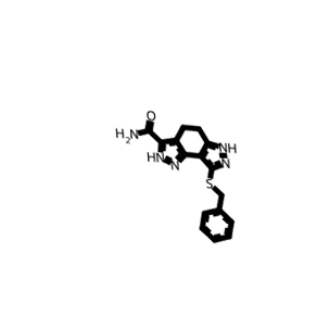 NC(=O)c1[nH]nc2c1CCc1[nH]nc(SCc3ccccc3)c1-2